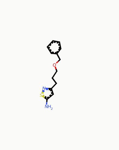 Nc1cc(CCCOCc2ccccc2)ns1